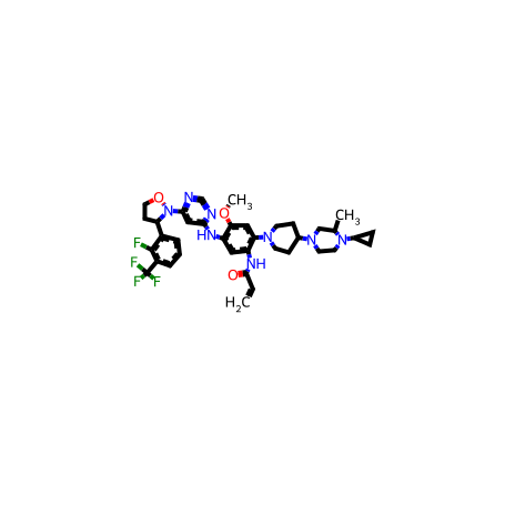 C=CC(=O)Nc1cc(Nc2cc(N3OCCC3c3cccc(C(F)(F)F)c3F)ncn2)c(OC)cc1N1CCC(N2CCN(C3CC3)C(C)C2)CC1